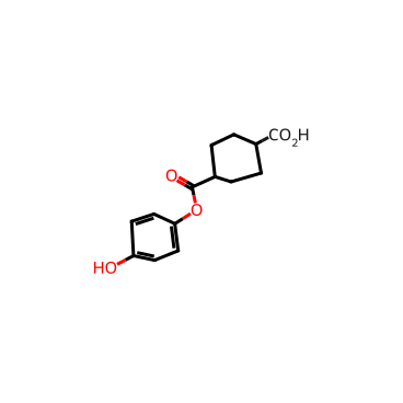 O=C(O)C1CCC(C(=O)Oc2ccc(O)cc2)CC1